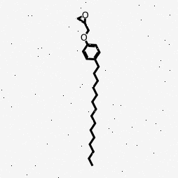 CCCCCCCCCCCCCCCc1ccc(OCC2CO2)cc1